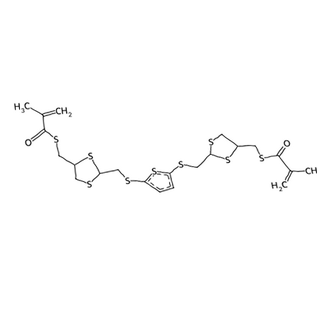 C=C(C)C(=O)SCC1CSC(CSc2ccc(SCC3SCC(CSC(=O)C(=C)C)S3)s2)S1